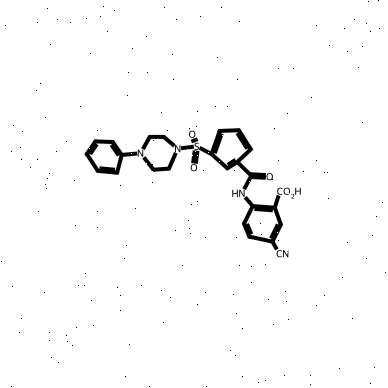 N#Cc1ccc(NC(=O)c2cccc(S(=O)(=O)N3CCN(c4ccccc4)CC3)c2)c(C(=O)O)c1